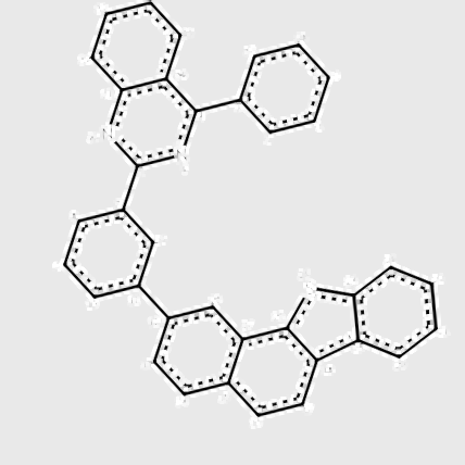 c1ccc(-c2nc(-c3cccc(-c4ccc5ccc6c7ccccc7sc6c5c4)c3)nc3ccccc23)cc1